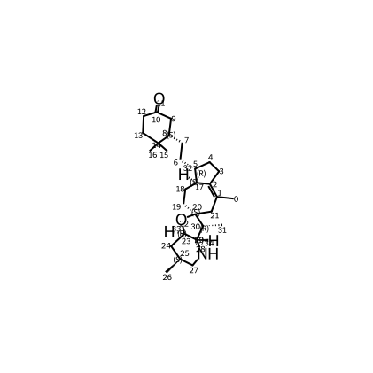 CC1=C2CC[C@@H](CC[C@H]3CC(=O)CCC3(C)C)[C@@H]2CC[C@@]2(C1)O[C@@H]1C[C@H](C)CN[C@H]1[C@H]2C